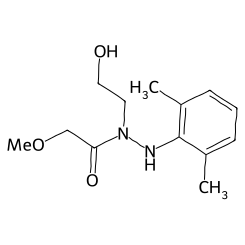 COCC(=O)N(CCO)Nc1c(C)cccc1C